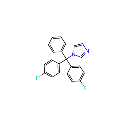 Fc1ccc(C(c2ccccc2)(c2ccc(F)cc2)n2ccnc2)cc1